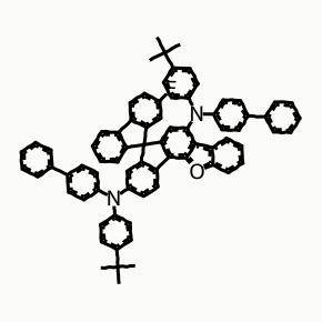 CC(C)(C)c1ccc(N(c2ccc(-c3ccccc3)cc2)c2ccc3c(c2)C2(c4ccccc4-c4ccc(F)cc42)c2cc(N(c4ccc(-c5ccccc5)cc4)c4ccc(C(C)(C)C)cc4)c4c(oc5ccccc54)c2-3)cc1